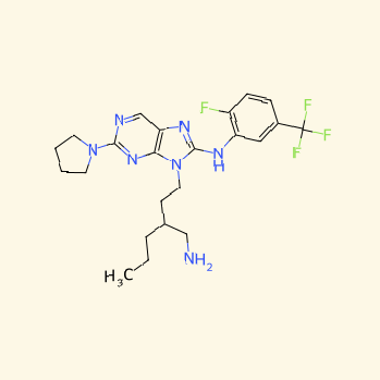 CCCC(CN)CCn1c(Nc2cc(C(F)(F)F)ccc2F)nc2cnc(N3CCCC3)nc21